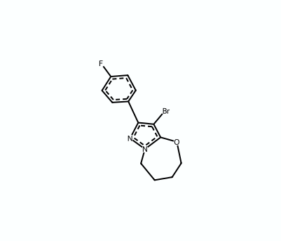 Fc1ccc(-c2nn3c(c2Br)OCCCC3)cc1